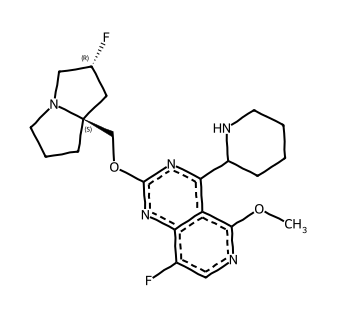 COc1ncc(F)c2nc(OC[C@@]34CCCN3C[C@H](F)C4)nc(C3CCCCN3)c12